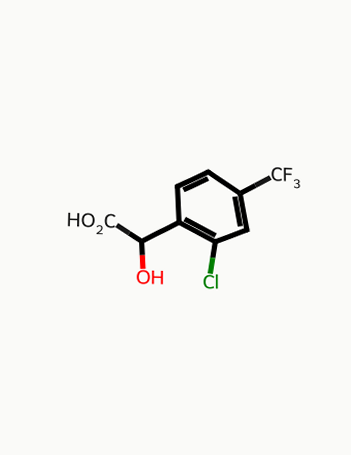 O=C(O)C(O)c1ccc(C(F)(F)F)cc1Cl